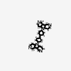 C1=C(c2ccc(-n3c4ccncc4c4cnccc43)cc2)CCC(n2c3ccncc3c3cnccc32)=C1